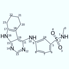 CNS(=O)(=O)c1cccc(Nc2ncnc3[nH]c4c(c23)CCCC4)c1